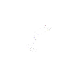 O=C(CNc1ncnc2ccc(C(F)(F)F)cc12)NC1CN([C@H]2CC[C@@H](C(O)c3cncs3)CC2)C1